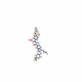 CCC1c2ncc(C(=O)N[C@@H](CO)c3ccc(S(=O)(=O)CC)cc3)cc2CN1C[C@H]1CC[C@H](C(F)(F)F)CC1